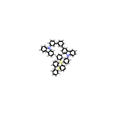 c1ccc(S(c2ccccc2)(c2cccc(-n3c4ccccc4c4cc(-c5cccc(-c6cccc(-n7c8ccccc8c8ccccc87)c6)c5)ccc43)c2)c2cccc3c2sc2ccccc23)cc1